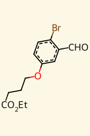 CCOC(=O)CCCOc1ccc(Br)c(C=O)c1